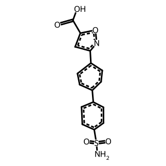 NS(=O)(=O)c1ccc(-c2ccc(-c3cc(C(=O)O)on3)cc2)cc1